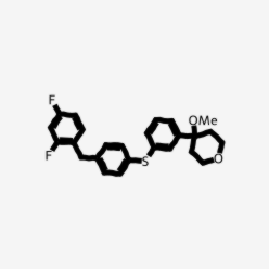 COC1(c2cccc(Sc3ccc(Cc4ccc(F)cc4F)cc3)c2)CCOCC1